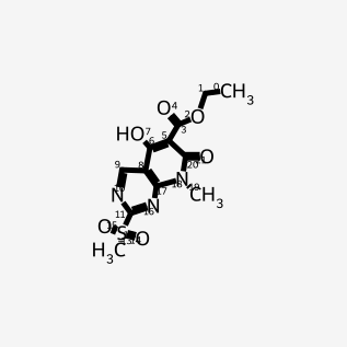 CCOC(=O)c1c(O)c2cnc(S(C)(=O)=O)nc2n(C)c1=O